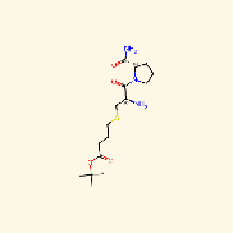 CC(C)(C)OC(=O)CCCSC[C@H](N)C(=O)N1CCC[C@H]1C(N)=O